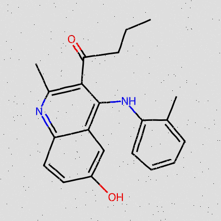 CCCC(=O)c1c(C)nc2ccc(O)cc2c1Nc1ccccc1C